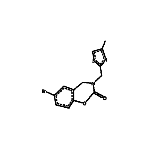 Cc1csc(CN2Cc3cc(Br)ccc3OC2=O)n1